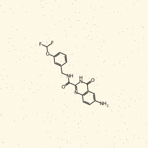 Nc1ccc2nc(C(=O)NCc3cccc(OC(F)F)c3)[nH]c(=O)c2c1